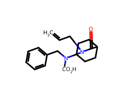 C=CCN1C(=O)C2CCC1(N(Cc1ccccc1)C(=O)O)CC2